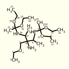 CCOCC(N)(C(C)PC(C)(OCC)OCC)C(C)PC(C)(OCC)OCC